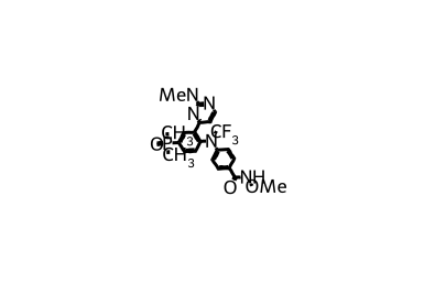 CNc1nccc(-c2cc(P(C)(C)=O)ccc2N(c2ccc(C(=O)NOC)cc2)C(F)(F)F)n1